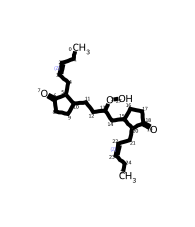 CC/C=C\CC1C(=O)CCC1CCC(CC1CCC(=O)C1C/C=C\CC)OO